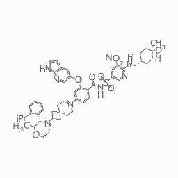 CC(C)c1ccccc1[C@H]1C(C)OCCN1C1CC2(CCN(c3ccc(C(=O)NS(=O)(=O)c4cnc(NC[C@H]5CC[C@](C)(O)CC5)c([N+](=O)[O-])c4)c(Oc4cnc5[nH]ccc5c4)c3)CC2)C1